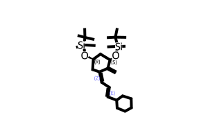 C=C1/C(=C\C=C\C2CCCCC2)C[C@@H](O[Si](C)(C)C(C)(C)C)C[C@@H]1O[Si](C)(C)C(C)(C)C